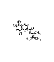 CCn1c(=O)cc(Cl)c2cc(C(=O)/N=C(\C)N(C)C)ccc21